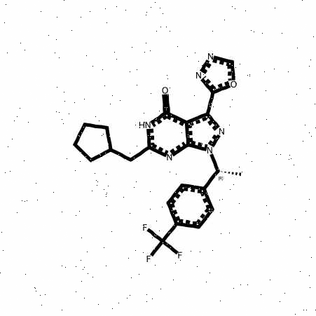 C[C@H](c1ccc(C(F)(F)F)cc1)n1nc(-c2nnco2)c2c(=O)[nH]c(CC3CCCC3)nc21